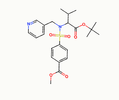 COC(=O)c1ccc(S(=O)(=O)N(Cc2cccnc2)C(C(=O)OC(C)(C)C)C(C)C)cc1